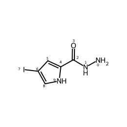 NNC(=O)c1cc(I)c[nH]1